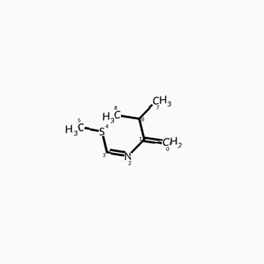 C=C(/N=C\SC)C(C)C